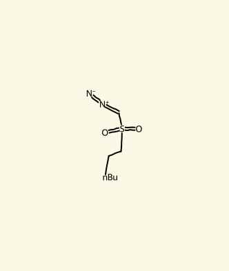 CCCCCCS(=O)(=O)C=[N+]=[N-]